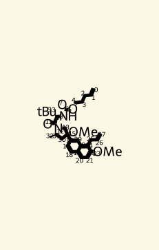 C=CCCCOC(=O)N[C@H](C(=O)N1C[C@](OC)(c2ccc3ccc(OC)c(CC=C)c3c2)C[C@H]1C)C(C)(C)C